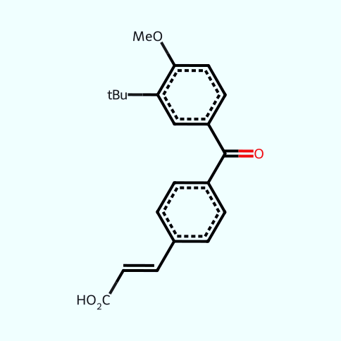 COc1ccc(C(=O)c2ccc(C=CC(=O)O)cc2)cc1C(C)(C)C